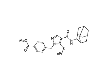 CCCSc1c(C(=O)NC2C3CC4CC(C3)CC2C4)cnn1Cc1ccc(C(=O)OC)cc1